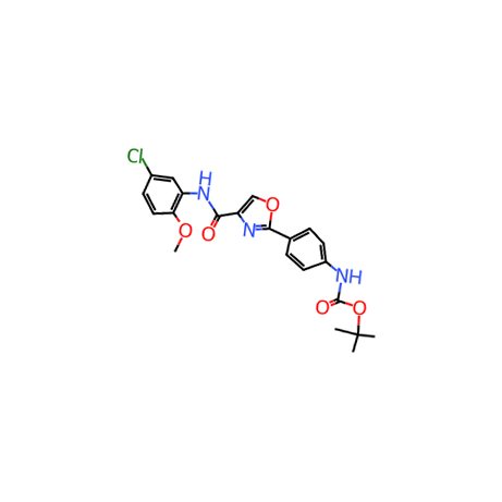 COc1ccc(Cl)cc1NC(=O)c1coc(-c2ccc(NC(=O)OC(C)(C)C)cc2)n1